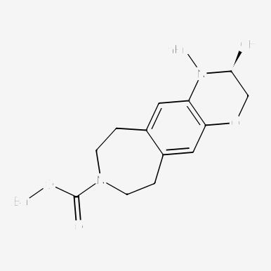 CCCN1c2cc3c(cc2OC[C@@H]1C)CCN(C(=O)OC(C)(C)C)CC3